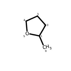 CC1[C]CCO1